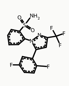 NS(=O)(=O)c1ccccc1-n1nc(C(F)(F)F)cc1-c1cc(F)ccc1F